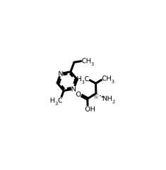 CC(C)[C@H](N)C(=O)O.CCc1cnc(C)cn1